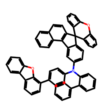 c1ccc(-c2ccccc2N(c2ccc(-c3cccc4c3oc3ccccc34)cc2)c2ccc3c(c2)-c2c(ccc4ccccc24)C32c3ccccc3Oc3ccccc32)cc1